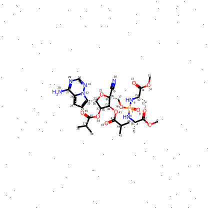 COC(=O)[C@H](C)NP(=O)(N[C@@H](C)C(=O)OC)OC[C@@]1(C#N)O[C@@H](c2ccc3c(N)ncnn23)[C@H](OC(=O)C(C)C)[C@@H]1OC(=O)C(C)C